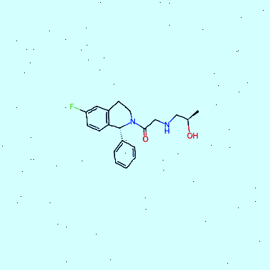 C[C@@H](O)CNCC(=O)N1CCc2cc(F)ccc2[C@H]1c1ccccc1